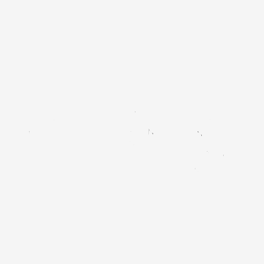 O=C1OCc2ccccc2N1C1CCN(S(=O)(=O)c2ccc3oc(=O)ccc3c2)CC1